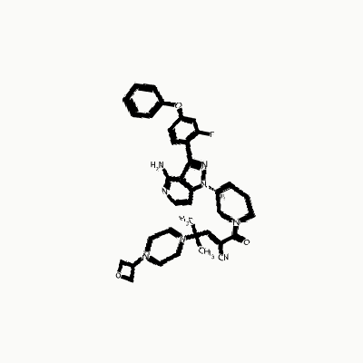 CC(C)(C=C(C#N)C(=O)N1CCC[C@@H](n2nc(-c3ccc(Oc4ccccc4)cc3F)c3c(N)nccc32)C1)N1CCN(C2COC2)CC1